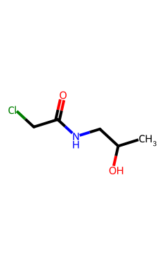 CC(O)CNC(=O)CCl